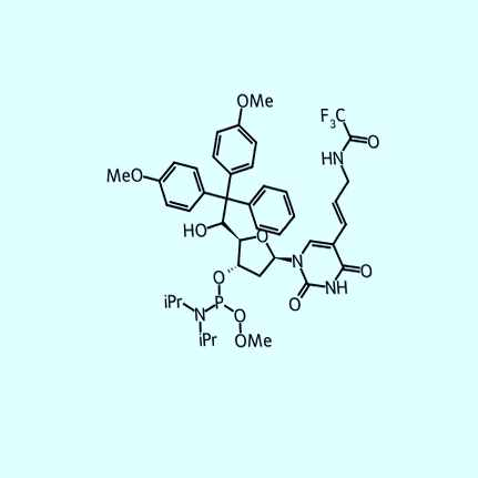 COOP(O[C@H]1C[C@H](n2cc(C=CCNC(=O)C(F)(F)F)c(=O)[nH]c2=O)O[C@@H]1C(O)C(c1ccccc1)(c1ccc(OC)cc1)c1ccc(OC)cc1)N(C(C)C)C(C)C